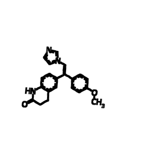 COc1ccc(/C(=C/n2ccnc2)c2ccc3c(c2)CCC(=O)N3)cc1